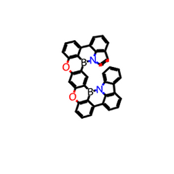 c1cc2c3c(c1)-c1cccc4c5ccccc5n(c14)B3c1cc3c(cc1O2)Oc1cccc2c1B3n1c3ccccc3c3cccc-2c31